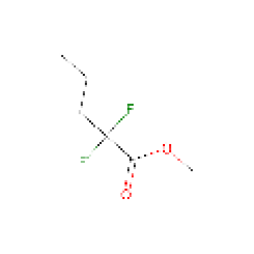 CCCC(F)(F)C(=O)OC